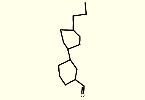 CCCC1CCC(C2CCCC(C=O)C2)CC1